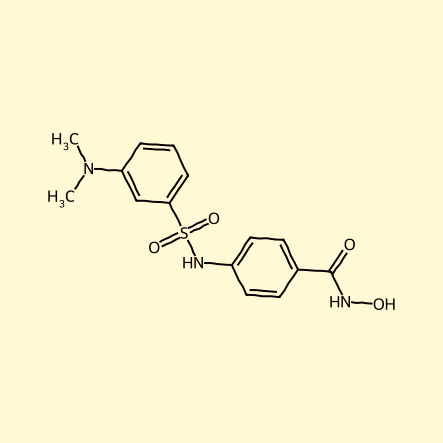 CN(C)c1cccc(S(=O)(=O)Nc2ccc(C(=O)NO)cc2)c1